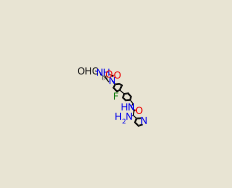 NC(C(=O)NCc1ccc(-c2ccc(N3C[C@H](CNC=O)OC3=O)cc2F)cc1)c1cccnc1